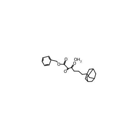 O.O=C(CCCC12CC3CC(CC(C3)C1)C2)C(=O)C(=O)OCc1ccccc1